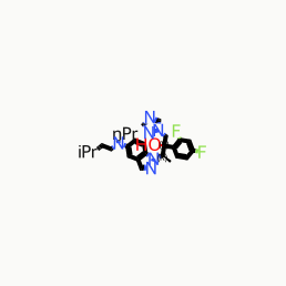 CCCN(CCC(C)C)c1ccc2c(cnn2[C@H](C)[C@](O)(Cn2cncn2)c2ccc(F)cc2F)c1